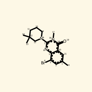 Cc1cc(Br)c2nc(N3CCCC(C)(C)C3)n(C)c(=O)c2c1